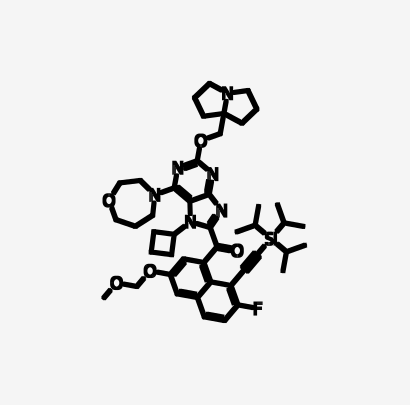 COCOc1cc(C(=O)c2nc3nc(OCC45CCCN4CCC5)nc(N4CCCOCC4)c3n2C2CCC2)c2c(C#C[Si](C(C)C)(C(C)C)C(C)C)c(F)ccc2c1